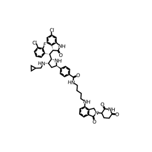 O=C1CCC(N2Cc3c(NCCCCNC(=O)c4ccc([C@H]5C[C@H](NCC6CC6)[C@H]([C@H](c6cccc(Cl)c6F)[C@H]6C(=O)Nc7cc(Cl)ccc76)N5)cc4)cccc3C2=O)C(=O)N1